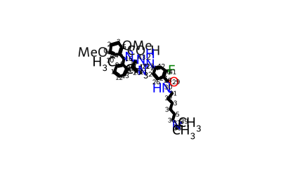 COc1ccc(OC)c(C(c2c(C)cccc2C)N(C(=O)O)c2ccnc(Nc3ccc(C(=O)NCCCCCCN(C)C)c(F)c3)n2)c1